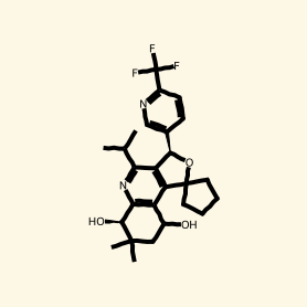 CC(C)c1nc2c(c3c1[C@@H](c1ccc(C(F)(F)F)nc1)OC31CCCC1)C(O)CC(C)(C)[C@H]2O